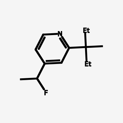 CCC(C)(CC)c1cc(C(C)F)ccn1